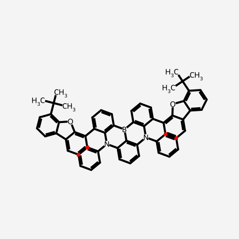 CC(C)(C)c1cccc2c1oc1c(-c3cccc4c3N(c3ccccc3)c3cccc5c3B4c3cccc(-c4cccc6c4oc4c(C(C)(C)C)cccc46)c3N5c3ccccc3)cccc12